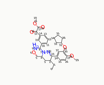 CCC1CC(C=O)N(C(N)c2cccc(C(=O)C(=O)OC)c2)N=C1c1ccc(OC)c(OC2CCCC2)c1